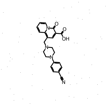 N#Cc1ccc(N2CCN(Cc3cc(C(=O)O)c(=O)n4ccccc34)CC2)cc1